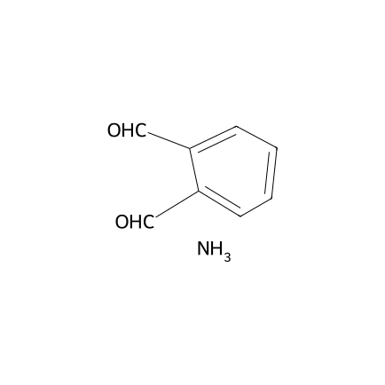 N.O=Cc1ccccc1C=O